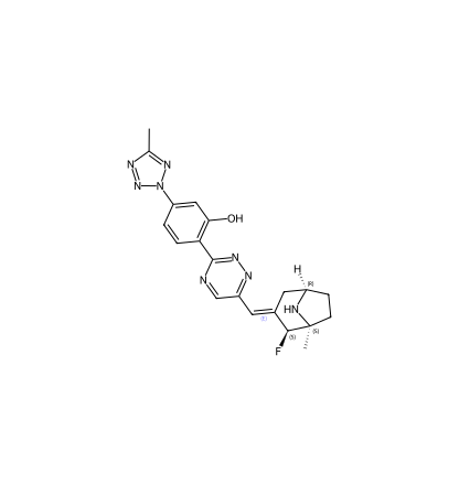 Cc1nnn(-c2ccc(-c3ncc(/C=C4\C[C@H]5CC[C@](C)(N5)[C@H]4F)nn3)c(O)c2)n1